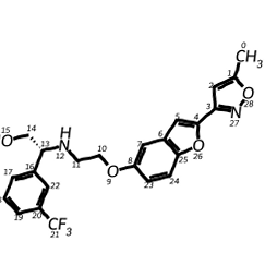 Cc1cc(-c2cc3cc(OCCN[C@@H](CO)c4cccc(C(F)(F)F)c4)ccc3o2)no1